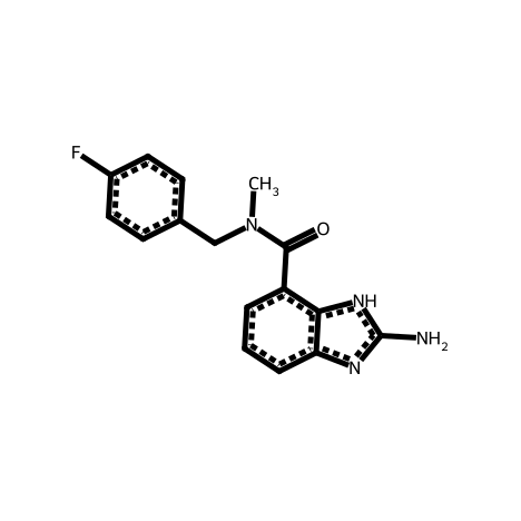 CN(Cc1ccc(F)cc1)C(=O)c1cccc2nc(N)[nH]c12